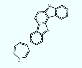 C1=CC=CNC=C1.c1ccc2c(c1)N=c1ccc3c(c1-2)N=c1ccccc1=3